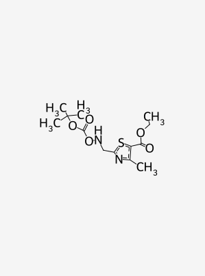 CCOC(=O)c1sc(CNOC(=O)OC(C)(C)C)nc1C